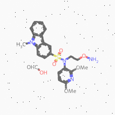 COc1ccc(N(CCON)S(=O)(=O)c2ccc3c(c2)c2ccccc2n3C)c(OC)n1.O=CO